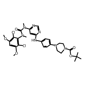 COc1cc(OC)c(Cl)c(N(C)C(=O)N(C)c2cc(Nc3ccc(N4CCN(C(=O)OC(C)(C)C)CC4)cc3)ncn2)c1Cl